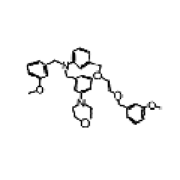 COc1cccc(COCCOCc2cccc(N(Cc3cccc(OC)c3)Cc3cccc(N4CCOCC4)c3)c2)c1